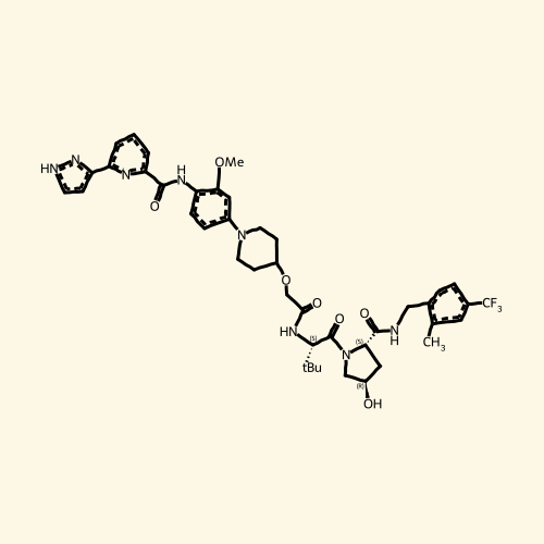 COc1cc(N2CCC(OCC(=O)N[C@H](C(=O)N3C[C@H](O)C[C@H]3C(=O)NCc3ccc(C(F)(F)F)cc3C)C(C)(C)C)CC2)ccc1NC(=O)c1cccc(-c2cc[nH]n2)n1